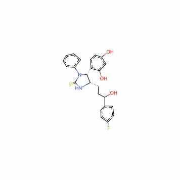 Oc1ccc([C@@H]2[C@H](CCC(O)c3ccc(F)cc3)NC(=S)N2c2ccccc2)c(O)c1